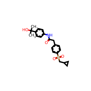 CC(C)(O)c1ccc(NC(=O)Cc2ccc(S(=O)(=O)CC3CC3)cc2)cc1